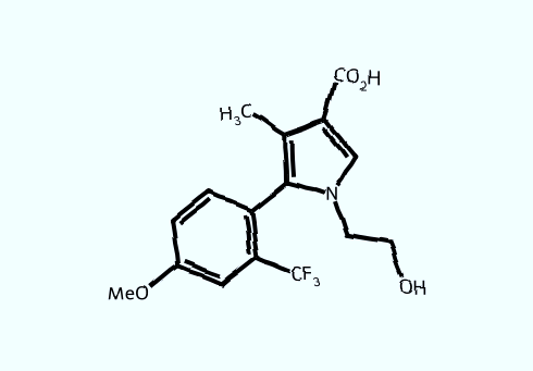 COc1ccc(-c2c(C)c(C(=O)O)cn2CCO)c(C(F)(F)F)c1